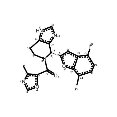 Cc1ncoc1C(=O)N1CCc2[nH]cnc2[C@@H]1c1cc2c(F)ccc(F)c2o1